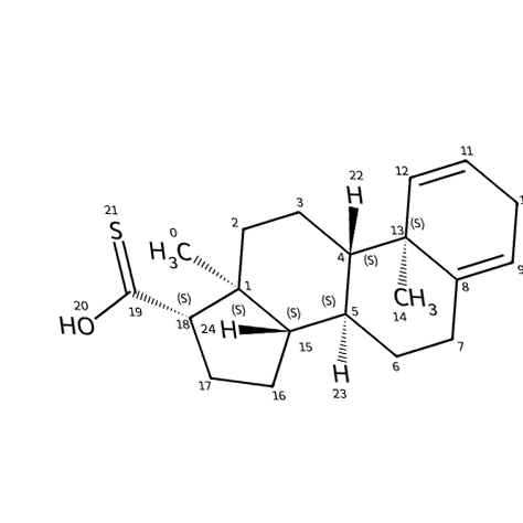 C[C@]12CC[C@H]3[C@@H](CCC4=CCC=C[C@@]43C)[C@@H]1CC[C@@H]2C(O)=S